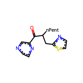 CCCCC[C](Cc1nccs1)C(=O)c1cnccn1